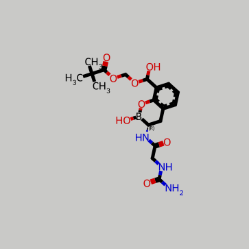 CC(C)(C)C(=O)OCOC(O)c1cccc2c1OB(O)[C@@H](NC(=O)CNC(N)=O)C2